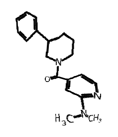 CN(C)c1cc(C(=O)N2CCCC(c3ccccc3)C2)ccn1